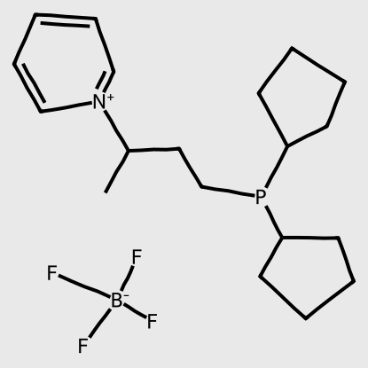 CC(CCP(C1CCCC1)C1CCCC1)[n+]1ccccc1.F[B-](F)(F)F